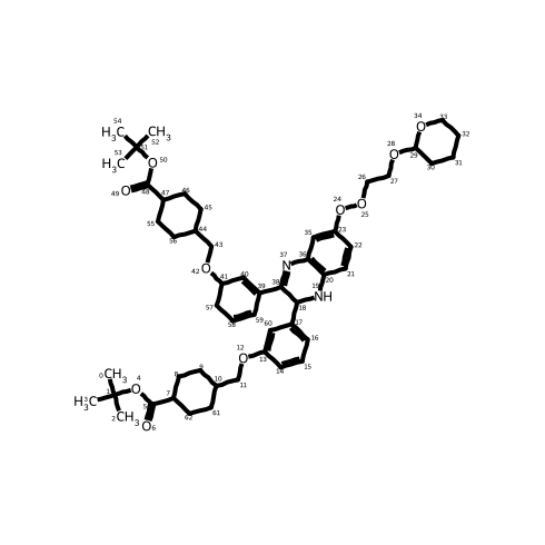 CC(C)(C)OC(=O)C1CCC(COc2cccc(C3Nc4ccc(OOCCOC5CCCCO5)cc4N=C3C3=CC(OCC4CCC(C(=O)OC(C)(C)C)CC4)CC=C3)c2)CC1